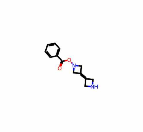 O=C(ON1CC(=C2CNC2)C1)c1ccccc1